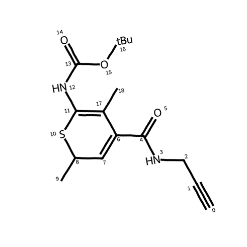 C#CCNC(=O)C1=CC(C)SC(NC(=O)OC(C)(C)C)=C1C